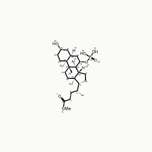 COC(=O)CC[C@@H](C)[C@H]1CC[C@H]2[C@@H]3[C@H](OP(=O)(O)O)C[C@@H]4C[C@H](O)CC[C@]4(C)[C@@]3(C)CC[C@]12C